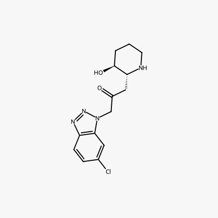 O=C(C[C@H]1NCCC[C@@H]1O)Cn1nnc2ccc(Cl)cc21